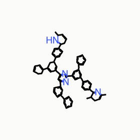 CC1=CCC(C)C(c2ccc(-c3cc(-c4ccccc4)cc(-c4nc(C5=CC(c6ccc(C7CC=CC(C)N7)cc6)CC(C6=CC=CCC6)=C5)cc(-c5cccc(-c6ccccc6)c5)n4)c3)cc2)=N1